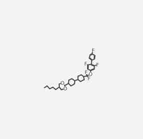 CCCCCC1COC(C2CCC(C3CCC(C(F)(F)Oc4cc(F)c(-c5ccc(F)cc5)c(F)c4)CC3)CC2)OC1